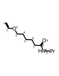 C=COCCCCCC(=O)NC(C)C